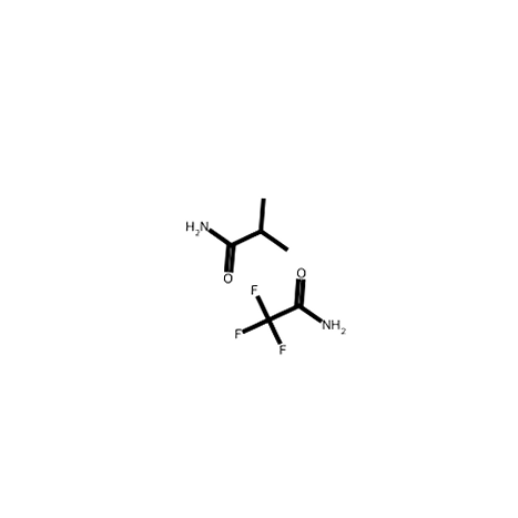 CC(C)C(N)=O.NC(=O)C(F)(F)F